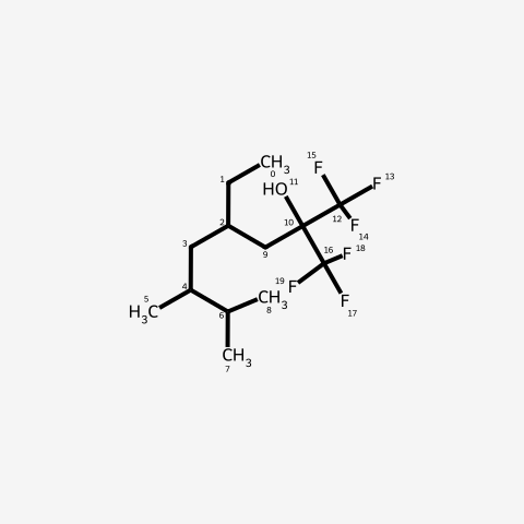 CCC(CC(C)C(C)C)CC(O)(C(F)(F)F)C(F)(F)F